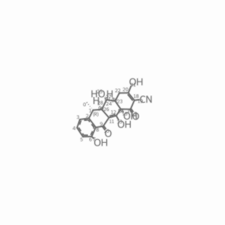 C[C@H]1c2cccc(O)c2C(=O)C2=C(O)[C@]3(O)C(=O)C(C#N)=C(O)C[C@@H]3[C@@H](O)[C@@H]21